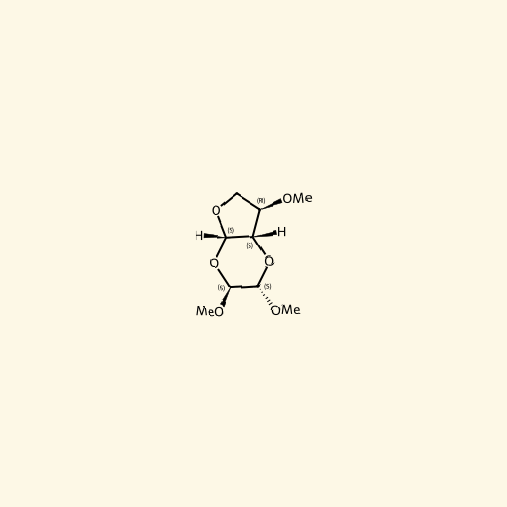 CO[C@H]1O[C@@H]2OC[C@@H](OC)[C@@H]2O[C@@H]1OC